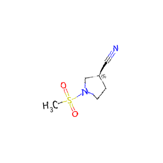 CS(=O)(=O)N1CC[C@H](C#N)C1